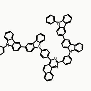 c1ccc(-n2c3ccccc3c3cc(-c4ccc5c(c4)c4ccccc4n5-c4ccc(-c5nc(-c6cccc(-n7c8ccccc8c8cc(-c9ccc%10c(c9)c9ccccc9n%10-c9ccccc9)ccc87)c6)nc6c5ccc5ccccc56)cc4)ccc32)cc1